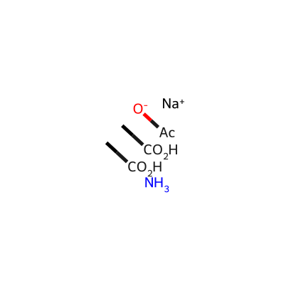 CC(=O)O.CC(=O)O.CC(=O)[O-].N.[Na+]